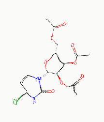 CC(=O)OC[C@H]1O[C@@H](N2C=CC(Cl)NC2=O)[C@H](OC(C)=O)[C@@H]1OC(C)=O